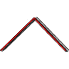 [Al+3].[As-3].[As-3].[As-3].[As-3].[As-3].[As-3].[As-3].[As-3].[As-3].[As-3].[As-3].[As-3].[As-3].[As-3].[As-3].[As-3].[As-3].[As-3].[As-3].[As-3].[As-3].[As-3].[As-3].[As-3].[As-3].[As-3].[As-3].[As-3].[As-3].[As-3].[As-3].[As-3].[As-3].[As-3].[As-3].[As-3].[As-3].[As-3].[As-3].[As-3].[As-3].[As-3].[As-3].[As-3].[As-3].[As-3].[As-3].[As-3].[As-3].[As-3].[As-3].[As-3].[As-3].[As-3].[As-3].[As-3].[As-3].[As-3].[As-3].[As-3].[As-3].[As-3].[As-3].[As-3].[As-3].[As-3].[As-3].[As-3].[As-3].[As-3].[As-3].[As-3].[As-3].[As-3].[As-3].[As-3].[As-3].[As-3].[As-3].[As-3].[As-3].[As-3].[As-3].[As-3].[As-3].[As-3].[As-3].[As-3].[As-3].[As-3].[As-3].[As-3].[As-3].[As-3].[As-3].[As-3].[As-3].[As-3].[As-3].[As-3].[As-3].[As-3].[As-3].[As-3].[As-3].[As-3].[As-3].[As-3].[As-3].[As-3].[As-3].[As-3].[As-3].[As-3].[As-3].[As-3].[As-3].[As-3].[As-3].[As-3].[As-3].[As-3].[As-3].[As-3].[As-3].[As-3].[As-3].[As-3].[As-3].[As-3].[As-3].[As-3].[As-3].[As-3].[As-3].[As-3].[As-3].[As-3].[As-3].[As-3].[Ga]